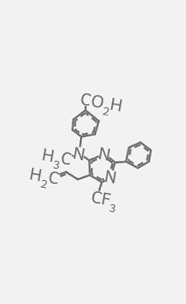 C=CCc1c(N(C)c2ccc(C(=O)O)cc2)nc(-c2ccccc2)nc1C(F)(F)F